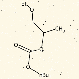 CCCCOC(=O)OC(C)COCC